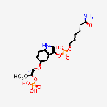 NC(=O)CCCCCOP(=O)(O)Oc1c[nH]c2ccc(O/C=C(\OP(=O)(O)O)C(=O)O)cc12